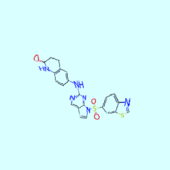 O=C1CCc2cc(Nc3ncc4ccn(S(=O)(=O)c5ccc6ncsc6c5)c4n3)ccc2N1